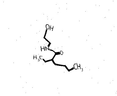 CCCCC(CC)C(=O)NCCO